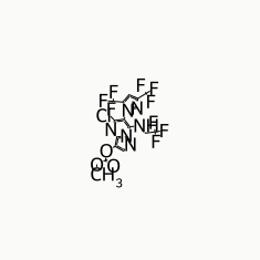 COC(=O)Oc1cnn2c(NCC(F)(F)F)c(-n3nc(C(F)(F)F)cc3C(F)(F)F)c(Cl)nc12